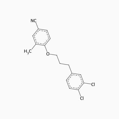 Cc1cc(C#N)ccc1OCCCc1ccc(Cl)c(Cl)c1